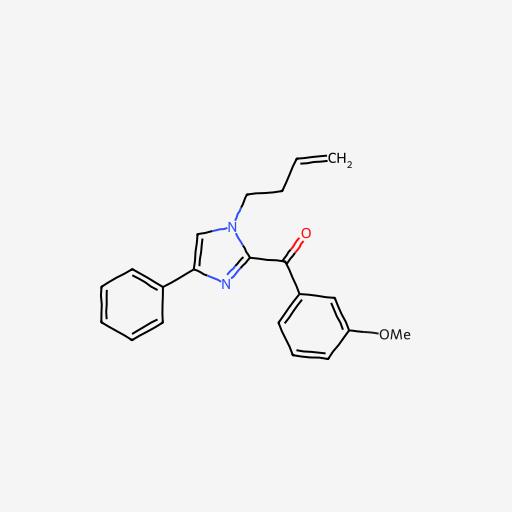 C=CCCn1cc(-c2ccccc2)nc1C(=O)c1cccc(OC)c1